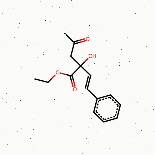 CCOC(=O)C(O)(C=Cc1ccccc1)CC(C)=O